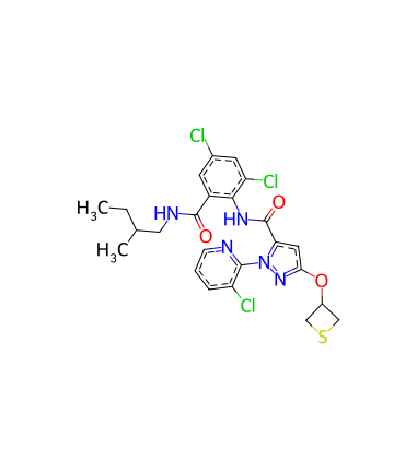 CCC(C)CNC(=O)c1cc(Cl)cc(Cl)c1NC(=O)c1cc(OC2CSC2)nn1-c1ncccc1Cl